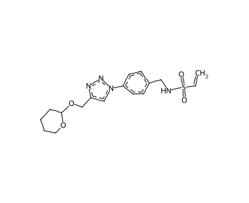 C=CS(=O)(=O)NCc1ccc(-n2cc(COC3CCCCO3)nn2)cc1